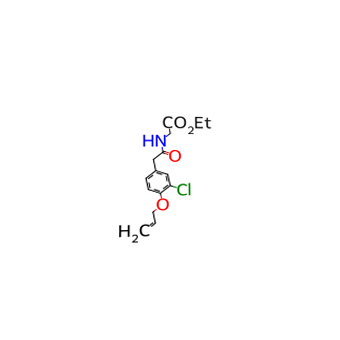 C=CCOc1ccc(CC(=O)NCC(=O)OCC)cc1Cl